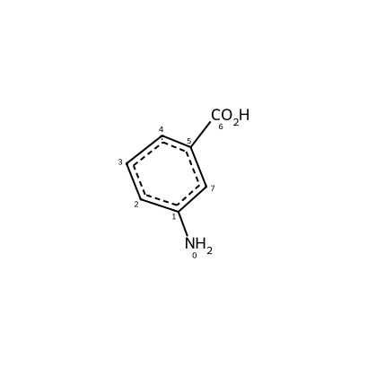 Nc1cc[c]c(C(=O)O)c1